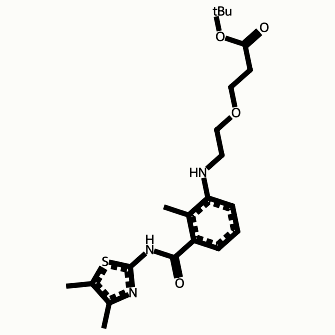 Cc1nc(NC(=O)c2cccc(NCCOCCC(=O)OC(C)(C)C)c2C)sc1C